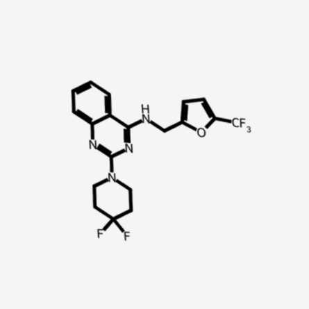 FC1(F)CCN(c2nc(NCc3ccc(C(F)(F)F)o3)c3ccccc3n2)CC1